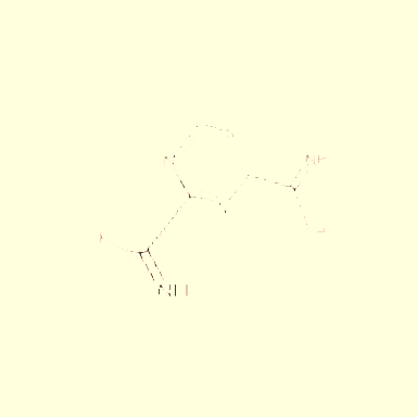 N=C(N)c1ncnc(C(=N)N)n1